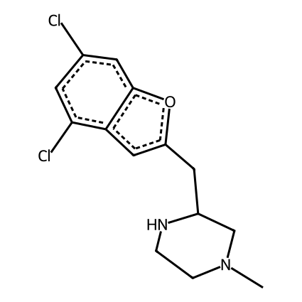 CN1CCNC(Cc2cc3c(Cl)cc(Cl)cc3o2)C1